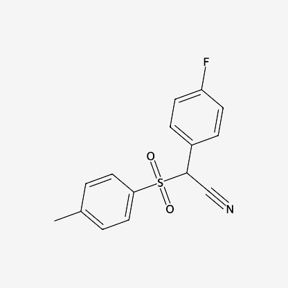 Cc1ccc(S(=O)(=O)C(C#N)c2ccc(F)cc2)cc1